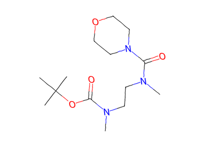 CN(CCN(C)C(=O)N1CCOCC1)C(=O)OC(C)(C)C